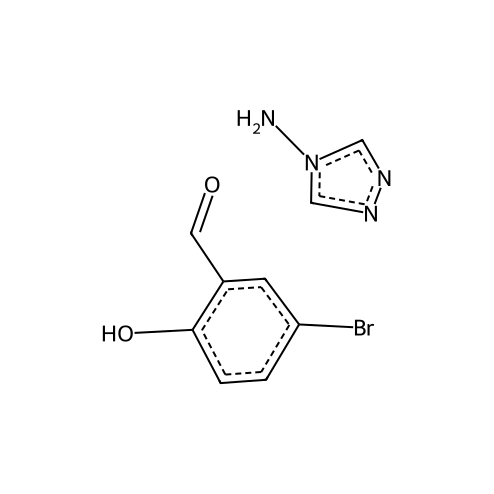 Nn1cnnc1.O=Cc1cc(Br)ccc1O